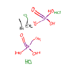 CCC(C)C.CCCl.Cl.Cl.O=P(O)(O)O.O=P(O)(O)O